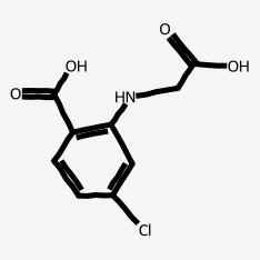 O=C(O)CNc1cc(Cl)ccc1C(=O)O